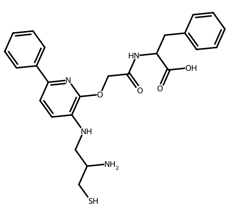 NC(CS)CNc1ccc(-c2ccccc2)nc1OCC(=O)NC(Cc1ccccc1)C(=O)O